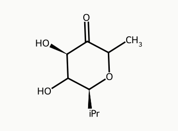 CC1O[C@@H](C(C)C)C(O)[C@@H](O)C1=O